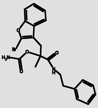 CC(Cc1c(Br)oc2ccccc12)(OC(N)=O)C(=O)NCCc1ccccc1